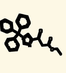 CCOC(=O)CC(=O)c1cn(C(c2ccccc2)(c2ccccc2)c2ccccc2)cn1